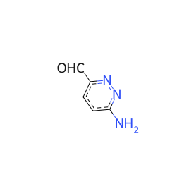 Nc1ccc(C=O)nn1